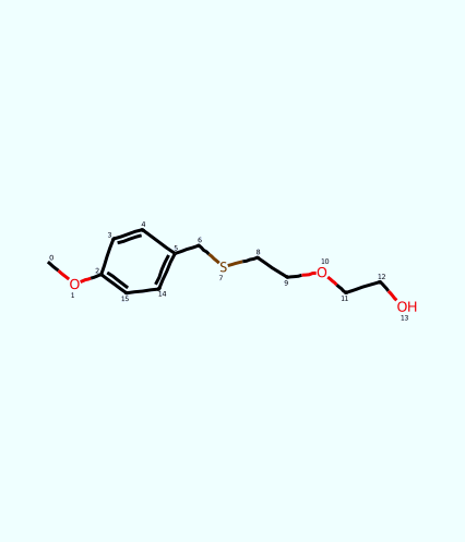 COc1ccc(CSCCOCCO)cc1